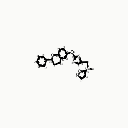 CN(Cc1cnc(Oc2ccc3c(c2)CCC(c2ccccc2)O3)s1)c1ccno1